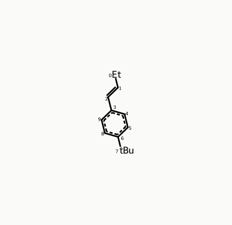 CCC=Cc1ccc(C(C)(C)C)cc1